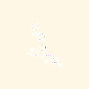 CC(O)CN1CC[C@H](NC(=O)c2noc(C(C)(C)C)n2)c2ccc(-c3ccnc(Nc4cnn(C)c4)n3)cc2C1